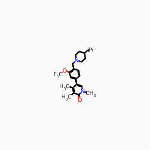 Cc1c(-c2ccc(CN3CCC(C(C)C)CC3)c(OC(F)(F)F)c2)cn(C)c(=O)c1C